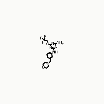 Nc1nc(Nc2cccc(CN3CCOCC3)c2)nc(OCC(F)(F)F)n1